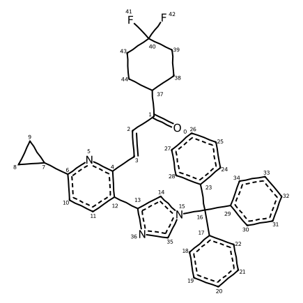 O=C(/C=C/c1nc(C2CC2)ccc1-c1cn(C(c2ccccc2)(c2ccccc2)c2ccccc2)cn1)C1CCC(F)(F)CC1